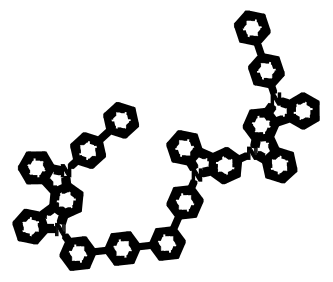 c1ccc(-c2ccc(-n3c4ccccc4c4c5c6ccccc6n(-c6cccc(-c7ccc(-c8cccc(-c9ccc(-n%10c%11ccccc%11c%11cc(-n%12c%13ccccc%13c%13c%14c%15ccccc%15n(-c%15ccc(-c%16ccccc%16)cc%15)c%14ccc%13%12)ccc%11%10)cc9)c8)cc7)c6)c5ccc43)cc2)cc1